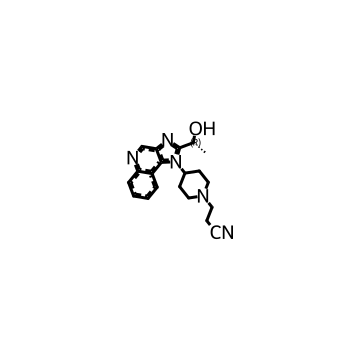 C[C@@H](O)c1nc2cnc3ccccc3c2n1C1CCN(CCC#N)CC1